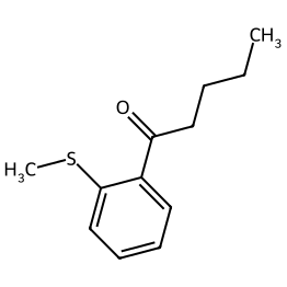 CCCCC(=O)c1ccccc1SC